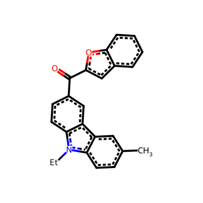 CCn1c2ccc(C)cc2c2cc(C(=O)c3cc4ccccc4o3)ccc21